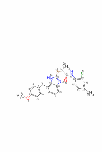 COc1ccc(Cc2cccc3nc(SC(C)C(=O)Nc4ccc(C)cc4Cl)[nH]c23)cc1